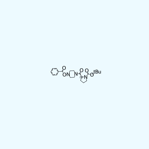 CC(C)(C)OC(=O)N1CCC[C@H]1C(=O)N1CCN(OC(=O)c2ccccc2)CC1